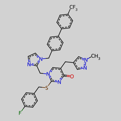 Cn1cc(Cc2cn(Cc3nccn3Cc3ccc(-c4ccc(C(F)(F)F)cc4)cc3)c(SCc3ccc(F)cc3)nc2=O)cn1